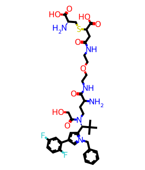 CC(C)(C)[C@H](c1cc(-c2cc(F)ccc2F)cn1Cc1ccccc1)N(CCC(N)C(=O)NCCOCCNC(=O)CC(SC[C@H](N)C(=O)O)C(=O)O)C(=O)CO